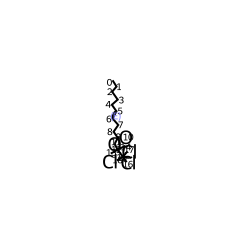 CCCCC/C=C/CCC(=O)OC(C)(C)C(Cl)(Cl)Cl